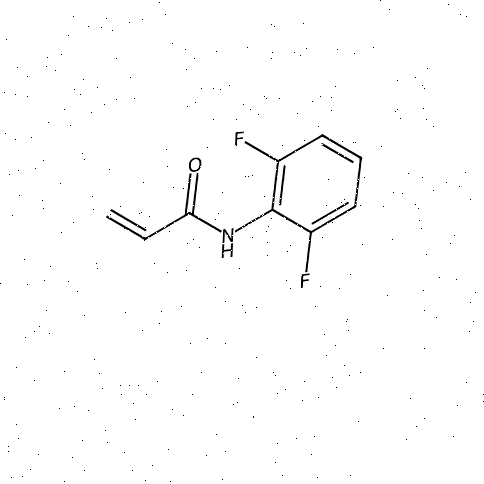 C=CC(=O)Nc1c(F)cccc1F